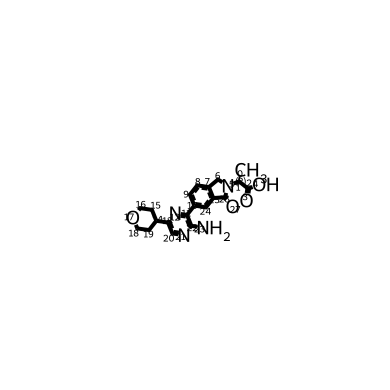 C[C@H](C(=O)O)N1Cc2ccc(-c3nc(C4CCOCC4)cnc3N)cc2C1=O